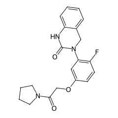 O=C(COc1ccc(F)c(N2Cc3ccccc3NC2=O)c1)N1CCCC1